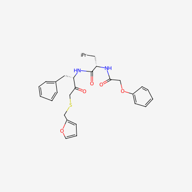 CC(C)C[C@H](NC(=O)COc1ccccc1)C(=O)N[C@@H](Cc1ccccc1)C(=O)CSCc1ccco1